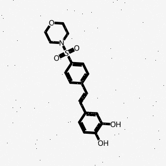 O=S(=O)(c1ccc(C=Cc2ccc(O)c(O)c2)cc1)N1CCOCC1